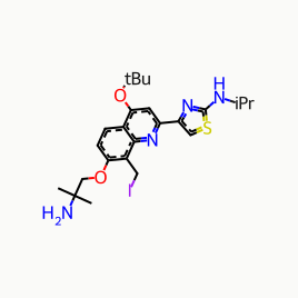 CC(C)Nc1nc(-c2cc(OC(C)(C)C)c3ccc(OCC(C)(C)N)c(CI)c3n2)cs1